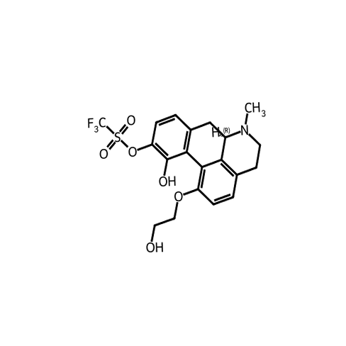 CN1CCc2ccc(OCCO)c3c2[C@H]1Cc1ccc(OS(=O)(=O)C(F)(F)F)c(O)c1-3